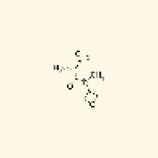 C=C[C@@H](C)C(=O)N(C)C1COC1